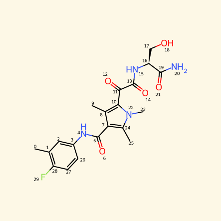 Cc1cc(NC(=O)c2c(C)c(C(=O)C(=O)N[C@@H](CO)C(N)=O)n(C)c2C)ccc1F